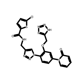 O=C(NCc1cn(-c2ccc(-n3ccccc3=O)cc2OCc2nnn[nH]2)nn1)c1ccc(Cl)s1